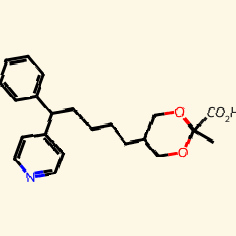 CC1(C(=O)O)OCC(CCCCC(c2ccccc2)c2ccncc2)CO1